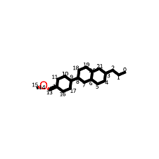 CCCC1CCC2CC(C3CCC(=COC)CC3)CCC2C1